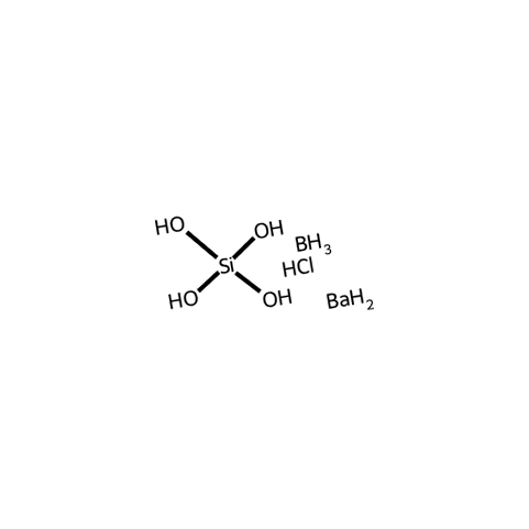 B.Cl.O[Si](O)(O)O.[BaH2]